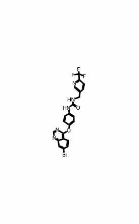 O=C(NCc1ccc(C(F)(F)F)nc1)Nc1ccc(Oc2ncnc3cc(Br)ccc23)cc1